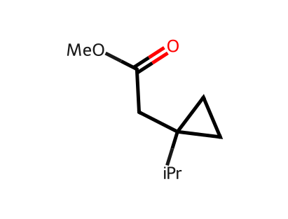 COC(=O)CC1(C(C)C)CC1